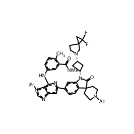 CNC(=O)c1cc(Nc2nc(-c3ccc4c(c3)N([C@H]3C[C@@H](N5CCC6(C5)CC6(F)F)C3)C(=O)C43CCN(C(C)=O)CC3)cc3ncn(C(C)C)c23)ccc1C